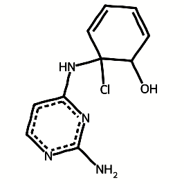 Nc1nccc(NC2(Cl)C=CC=CC2O)n1